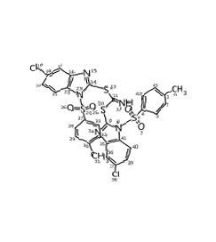 Cc1ccc(S(=O)(=O)n2c(SC(=N)Sc3nc4cc(Cl)ccc4n3S(=O)(=O)c3ccc(C)cc3)nc3cc(Cl)ccc32)cc1